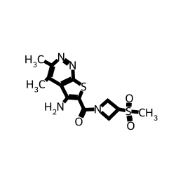 Cc1nnc2sc(C(=O)N3CC(S(C)(=O)=O)C3)c(N)c2c1C